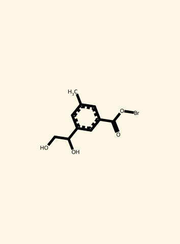 Cc1cc(C(=O)OBr)cc(C(O)CO)c1